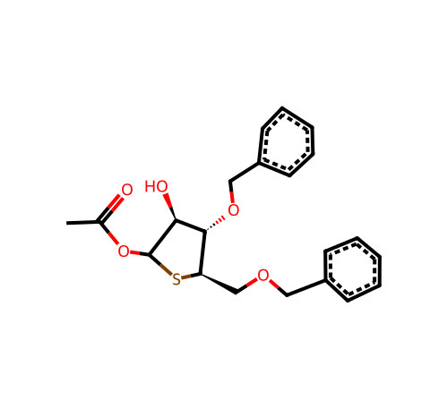 CC(=O)OC1S[C@H](COCc2ccccc2)[C@@H](OCc2ccccc2)[C@@H]1O